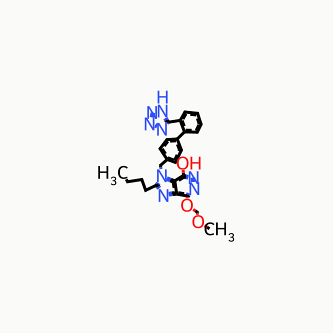 CCCCc1nc2c(OCOC)nnc(O)c2n1Cc1ccc(-c2ccccc2-c2nnn[nH]2)cc1